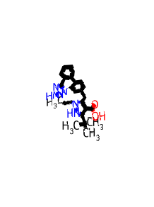 CCCN1NC(C(C)(C)C)C(C(=O)O)=C1Cc1ccc(-c2ccccc2-c2nn[nH]n2)cc1